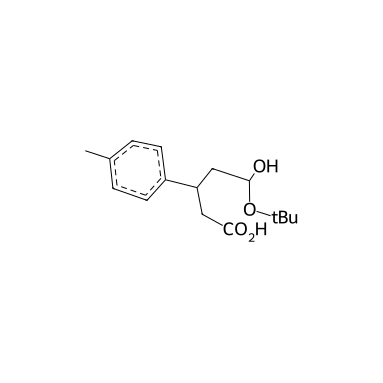 Cc1ccc(C(CC(=O)O)CC(O)OC(C)(C)C)cc1